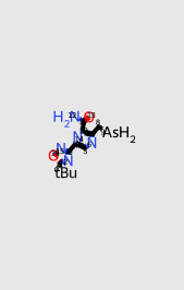 CC(C)(C)c1nc(-c2cnc(C[AsH2])c(C(N)=O)n2)no1